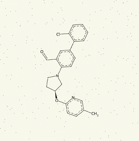 Cc1ccc(O[C@H]2CCN(c3ccc(-c4ccccc4Cl)cc3C=O)C2)nc1